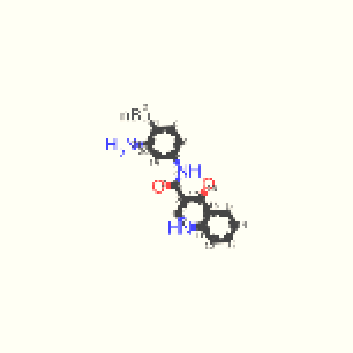 CCCCc1ccc(NC(=O)c2c[nH]c3ccccc3c2=O)cc1N